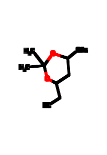 CC(=O)OC1CC(CC#N)OC(C)(C)O1